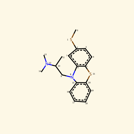 CSc1ccc2c(c1)N(CC(C)N(C)C)c1ccccc1S2